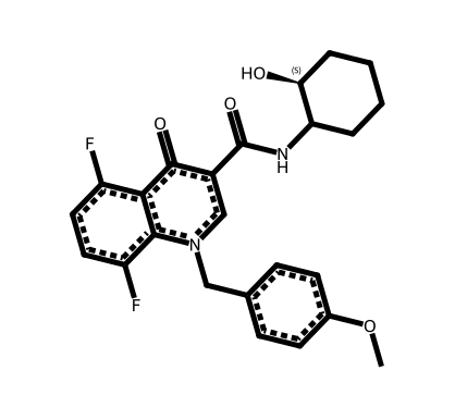 COc1ccc(Cn2cc(C(=O)NC3CCCC[C@@H]3O)c(=O)c3c(F)ccc(F)c32)cc1